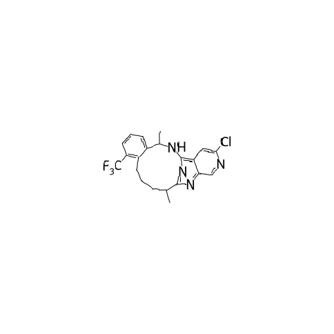 CC1CCCc2c(cccc2C(F)(F)F)C(C)Nc2nc1nc1cnc(Cl)cc21